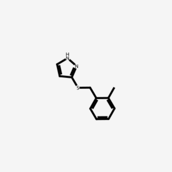 Cc1ccccc1CSc1cc[nH]n1